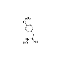 CCCCOc1ccc(CC(=N)NO)cc1